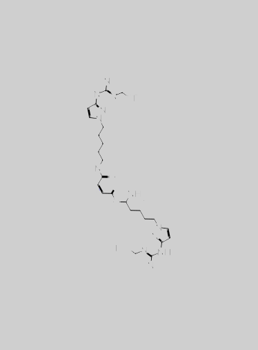 NC(=NCC(F)(F)F)Nc1ccn(CCCCCNC(=O)/C=C\C(=O)OC(N)CCCCn2ccc(NC(N)=NCC(F)(F)F)n2)n1